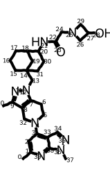 Cc1cc(N2CCc3c(c(C)nn3CC34CCCC(C3)C(NC(=O)CN3CC(O)C3)CC4)C2)c2cnn(C)c2n1